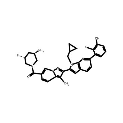 Cc1c(-c2cc3ccc(-c4cccc(O)c4F)nc3n2CC2CC2)nn2cc(C(=O)N3C[C@H](N)C[C@@H](F)C3)ccc12